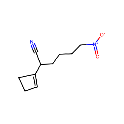 N#CC(CCCC[N+](=O)[O-])C1=CCC1